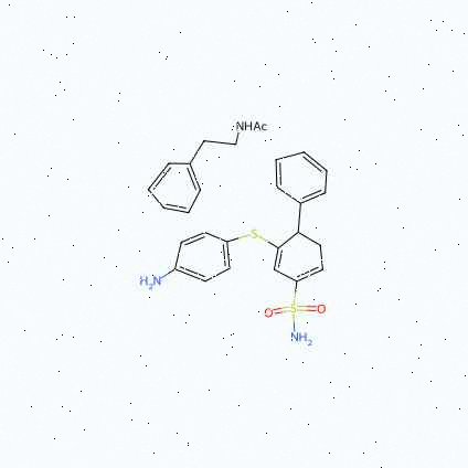 CC(=O)NCCc1ccccc1.Nc1ccc(SC2=CC(S(N)(=O)=O)=CCC2c2ccccc2)cc1